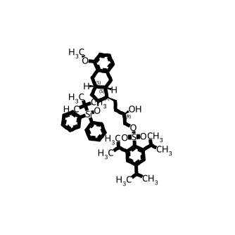 COc1cccc2c1C[C@H]1C[C@@H](O[Si](c3ccccc3)(c3ccccc3)C(C)(C)C)[C@H](CC[C@@H](O)COS(=O)(=O)c3c(C(C)C)cc(C(C)C)cc3C(C)C)[C@H]1C2